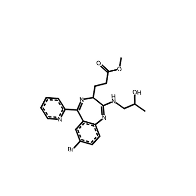 COC(=O)CCC1N=C(c2ccccn2)c2cc(Br)ccc2N=C1NCC(C)O